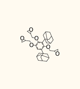 c1c(OCC2CO2)c(OCC2CO2)c(C23CC4CC(CC(C4)C2)C3)c(OCC2CO2)c1C12CC3CC(CC(C3)C1)C2